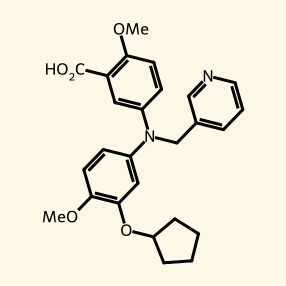 COc1ccc(N(Cc2cccnc2)c2ccc(OC)c(C(=O)O)c2)cc1OC1CCCC1